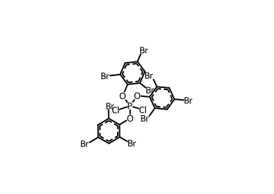 ClP(Cl)(Oc1c(Br)cc(Br)cc1Br)(Oc1c(Br)cc(Br)cc1Br)Oc1c(Br)cc(Br)cc1Br